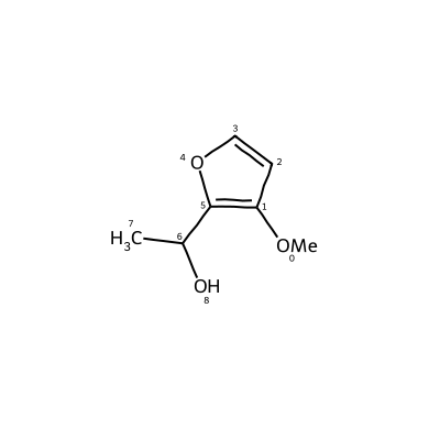 COc1ccoc1C(C)O